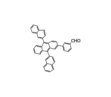 O=Cc1cccc(-c2ccc3c(-c4ccc5ccccc5c4)c4ccccc4c(-c4ccc5ccccc5c4)c3c2)c1